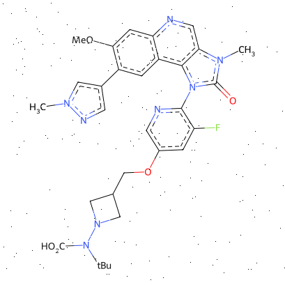 COc1cc2ncc3c(c2cc1-c1cnn(C)c1)n(-c1ncc(OCC2CN(N(C(=O)O)C(C)(C)C)C2)cc1F)c(=O)n3C